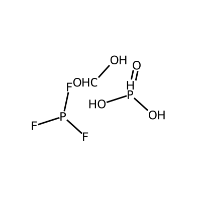 FP(F)F.O=CO.O=[PH](O)O